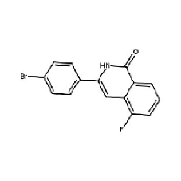 O=c1[nH]c(-c2ccc(Br)cc2)cc2c(F)cccc12